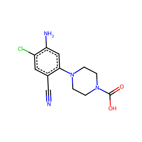 N#Cc1cc(Cl)c(N)cc1N1CCN(C(=O)O)CC1